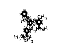 Cc1ccc(C(=N)N)cc1Oc1nc(Oc2cccc(C(=O)N(C)C)c2)nc2[nH]c(-c3ccccc3)nc12